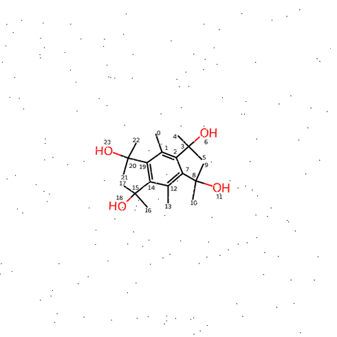 Cc1c(C(C)(C)O)c(C(C)(C)O)c(C)c(C(C)(C)O)c1C(C)(C)O